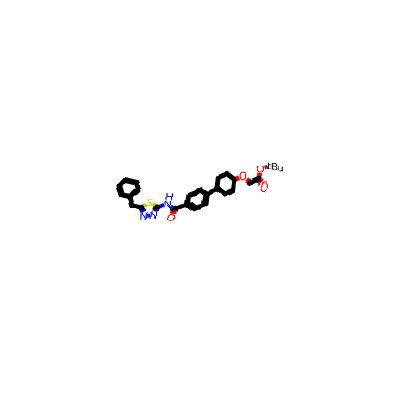 CC(C)(C)OC(=O)COC1CCC(c2ccc(C(=O)Nc3nnc(Cc4ccccc4)s3)cc2)CC1